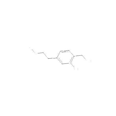 CNCCc1ccc(CO)c(O)c1